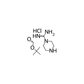 CC(C)(C)OC=O.Cl.N=C(N)N1CCNCC1